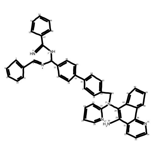 N=C(NC(/N=C/c1ccccc1)c1ccc(-c2ccc(CN(c3ccccn3)c3c(N)c4cccnc4c4ccccc34)cc2)cc1)c1ccccc1